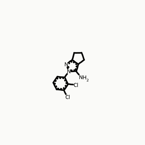 Nc1c2c(nn1-c1cccc(Cl)c1Cl)CCC2